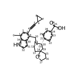 Cc1cc(C#CC2CC2)c(CN2CCC3(CCCO3)C[C@H]2c2ccc(C(=O)O)cc2)c2cc[nH]c12